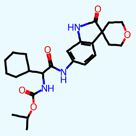 CC(C)OC(=O)NC(C(=O)Nc1ccc2c(c1)NC(=O)C21CCOCC1)C1CCCCC1